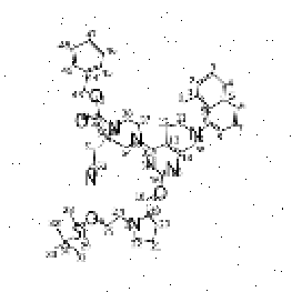 Cc1cccc2cccc(N3CCc4c(nc(OC[C@@H]5CCCN5CCO[Si](C)(C)C(C)(C)C)nc4N4CCN(C(=O)OCc5ccccc5)[C@@H](CC#N)C4)C3)c12